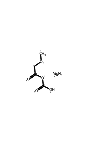 COCC(=O)OC(=O)O.[MgH2]